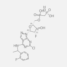 CC(Nc1nc(Cl)nc2c1cnn2[C@@H]1O[C@H](COP(=O)(O)CP(=O)(O)O)[C@@H](O)[C@@H]1F)c1ccccc1F